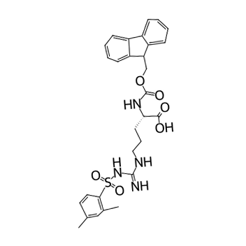 Cc1ccc(S(=O)(=O)NC(=N)NCCC[C@H](NC(=O)OCC2c3ccccc3-c3ccccc32)C(=O)O)c(C)c1